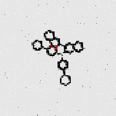 c1ccc(-c2ccc(N(c3ccc(C4CCCCC4)cc3)c3cc4ccccc4cc3-c3ccc4ccccc4c3)cc2)cc1